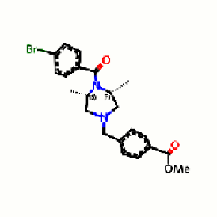 COC(=O)c1ccc(CN2C[C@@H](C)N(C(=O)c3ccc(Br)cc3)[C@@H](C)C2)cc1